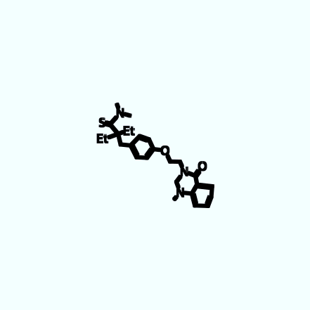 CCC(CC)(Cc1ccc(OCCN2CN(C)c3ccccc3C2=O)cc1)C(=S)N(C)C